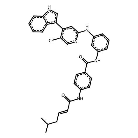 CC(C)C/C=C/C(=O)Nc1ccc(C(=O)Nc2cccc(Nc3cc(-c4c[nH]c5ccccc45)c(Cl)cn3)c2)cc1